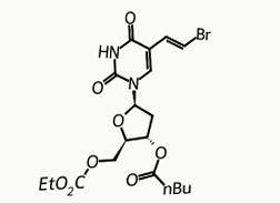 CCCCC(=O)O[C@H]1C[C@H](n2cc(C=CBr)c(=O)[nH]c2=O)O[C@@H]1COC(=O)OCC